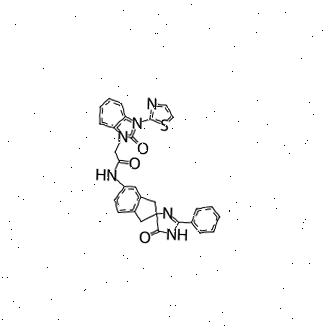 O=C(Cn1c(=O)n(-c2nccs2)c2ccccc21)Nc1ccc2c(c1)CC1(C2)N=C(c2ccccc2)NC1=O